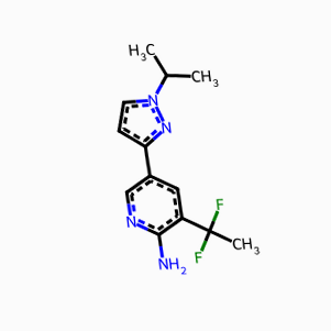 CC(C)n1ccc(-c2cnc(N)c(C(C)(F)F)c2)n1